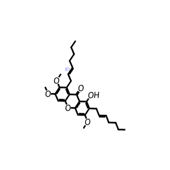 CCCCC=CCc1c(OC)cc2oc3cc(OC)c(OC)c(C/C=C/CCCC)c3c(=O)c2c1O